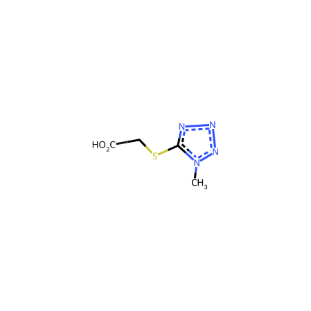 Cn1nnnc1SCC(=O)O